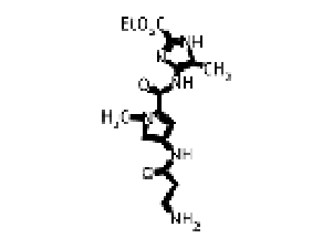 CCOC(=O)c1nc(NC(=O)c2cc(NC(=O)CCN)cn2C)c(C)[nH]1